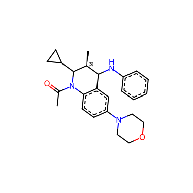 CC(=O)N1c2ccc(N3CCOCC3)cc2C(Nc2ccccc2)[C@H](C)C1C1CC1